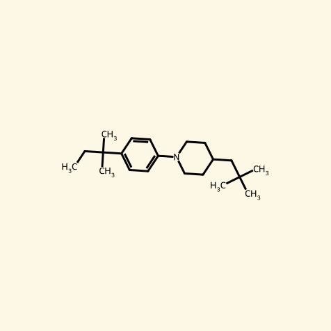 CCC(C)(C)c1ccc(N2CCC(CC(C)(C)C)CC2)cc1